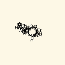 CC[C@H]1OC(=O)[C@H](C)[C@@H](O)[C@H](C)[C@@H](O[C@@H]2O[C@H](C)C[C@H](N(C)C(=O)Nc3ccccc3C(F)(F)F)[C@H]2O)[C@](C)(O)C[C@@H](C)CN[C@H](C)[C@@H](O)[C@]1(C)O